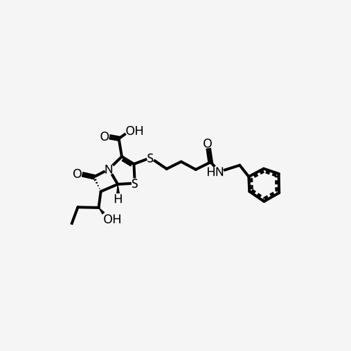 CC[C@H](O)[C@@H]1C(=O)N2C(C(=O)O)=C(SCCCC(=O)NCc3ccccc3)S[C@H]12